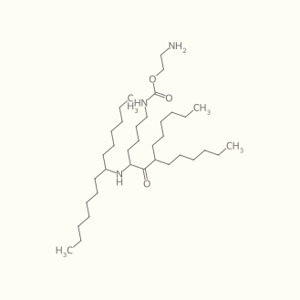 CCCCCCCC(CCCCCC)NC(CCCCNC(=O)OCCN)C(=O)C(CCCCCC)CCCCCC